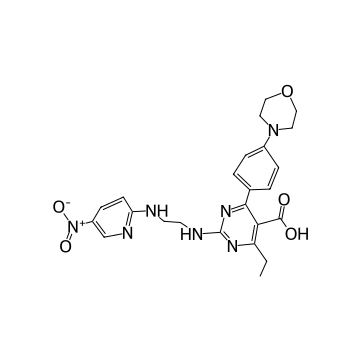 CCc1nc(NCCNc2ccc([N+](=O)[O-])cn2)nc(-c2ccc(N3CCOCC3)cc2)c1C(=O)O